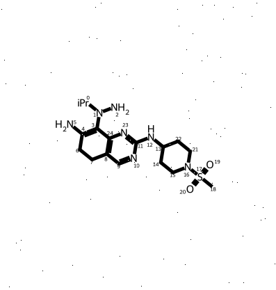 CC(C)N(N)C1=C(N)CCc2cnc(NC3CCN(S(C)(=O)=O)CC3)nc21